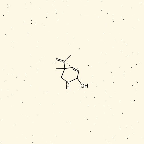 C=C(C)C1(C)C=CC(O)NC1